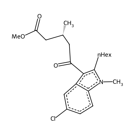 CCCCCCc1c(C(=O)C[C@@H](C)CC(=O)OC)c2cc(Cl)ccc2n1C